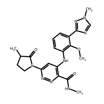 CNC(=O)c1nnc(N2CCC(C)C2=O)cc1Nc1cccc(-c2ncn(C)n2)c1OC